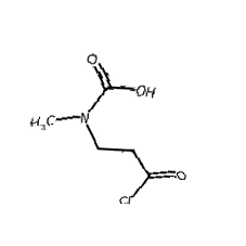 CN(CCC(=O)Cl)C(=O)O